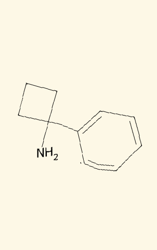 NC1(c2[c]cccc2)CCC1